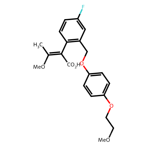 COCCOc1ccc(OCc2cc(F)ccc2C(C(=O)O)=C(C)OC)cc1